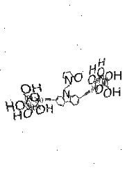 O=C1CCCN1CCn1c2cc(C#C[C@H]3O[C@H](CO)[C@@H](O)[C@H](O)[C@@H]3O)ccc2c2ccc(C#C[C@H]3O[C@H](CO)[C@@H](O)[C@H](O)[C@@H]3O)cc21